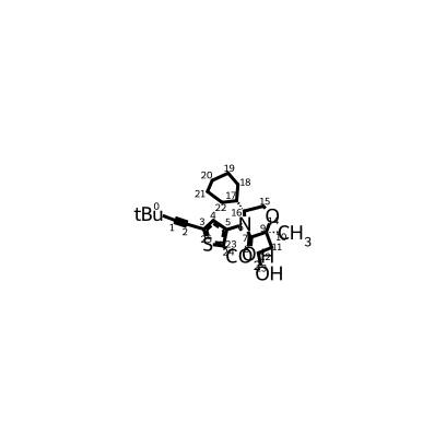 CC(C)(C)C#Cc1cc(N2C(=O)[C@](C)(CCO)OC[C@H]2C2CCCCC2)c(C(=O)O)s1